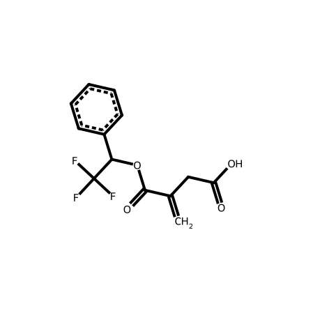 C=C(CC(=O)O)C(=O)OC(c1ccccc1)C(F)(F)F